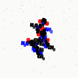 CCn1nc(C)cc1C(=O)Nc1nc2cc(C(N)=O)cc(OCCCN(C)C(=O)CCN3C(=O)C=CC3=O)c2n1C/C=C/Cn1c2cc(-c3cc(C)nn3CC)nnc2c2cc(C(N)=O)cc(OC)c21